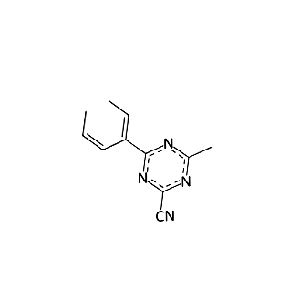 C/C=C\C(=C/C)c1nc(C)nc(C#N)n1